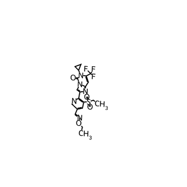 CCO/N=C/c1cnc(-c2cn3c(=O)n(C4CC4)c(C(F)(F)F)cc3n2)c(S(=O)(=O)CC)c1